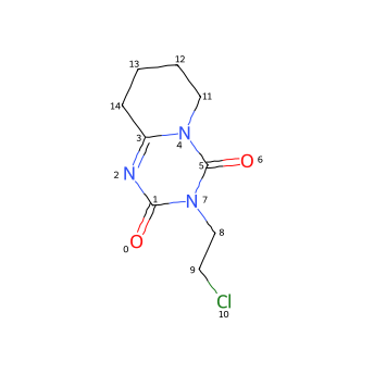 O=c1nc2n(c(=O)n1CCCl)CCCC2